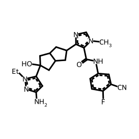 CCn1nc(N)cc1C1(O)CC2CC(c3ncn(C)c3C(=O)Nc3ccc(F)c(C#N)c3)CC2C1